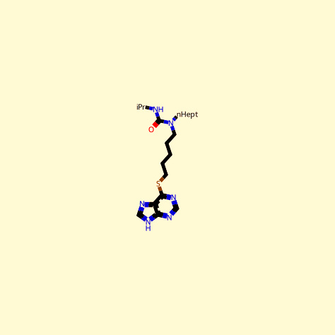 CCCCCCCN(CCCCCSc1ncnc2[nH]cnc12)C(=O)NC(C)C